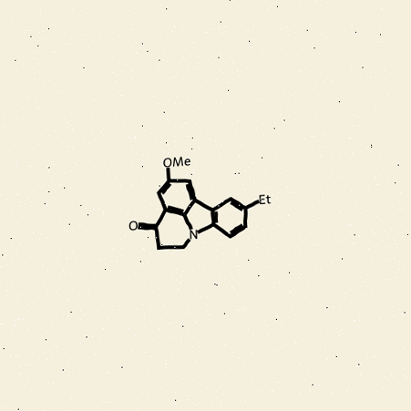 CCc1ccc2c(c1)c1cc(OC)cc3c1n2CCC3=O